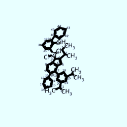 CCC(C)C1=Cc2c(ccc(-c3ccccc3)c2-c2cc(C(C)C)cc(C(C)C)c2)[CH]1[Zr]([Cl])([Cl])[c]1cccc2c1[SiH2]c1ccccc1-2